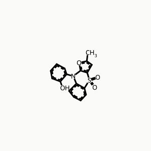 Cc1cc2c(o1)N(c1ccccc1O)c1ccccc1S2(=O)=O